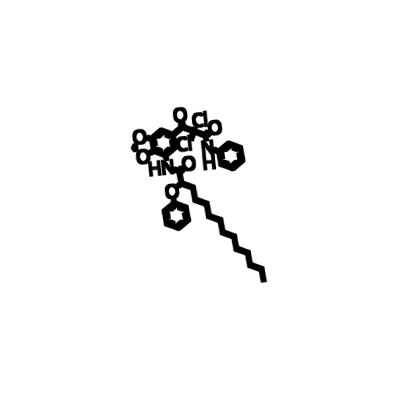 CCCCCCCCCCCCC(Oc1ccccc1)C(=O)Nc1cc(C(=O)C(Cl)(Cl)C(=O)Nc2ccccc2)cc2c1OCO2